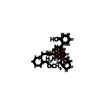 COCC1CCCCN1CC#Cc1cc(N2C3CCC2CN(c2cc(-c4ccccc4O)nnc2N)C3)ccn1